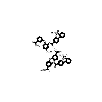 COC(=O)c1ccc(Oc2cccc(C(=N)N)c2)c(NC(=O)c2ccc(-c3ccccc3S(N)(=O)=O)cc2)c1.N=C(N)c1cccc(Oc2ccc(C(=O)O)cc2NC(=O)c2ccc(-c3ccccc3S(N)(=O)=O)cc2)c1